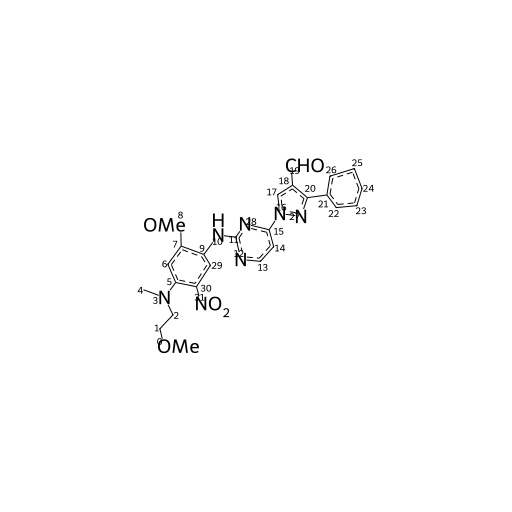 COCCN(C)c1cc(OC)c(Nc2nccc(-n3cc(C=O)c(-c4ccccc4)n3)n2)cc1[N+](=O)[O-]